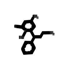 C=CC=C(c1ccccc1)c1cc(C)cc(=O)n1O